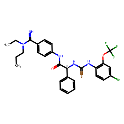 CCCN(CC)C(=N)c1ccc(NC(=O)[C@@H](NC(=S)Nc2ccc(Br)cc2OC(F)(F)F)c2ccccc2)cc1